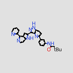 CC(C)(C)CC(=O)Nc1cccc(-c2ccc3[nH]nc(-c4cc5c(-c6ccccn6)nccc5[nH]4)c3n2)c1